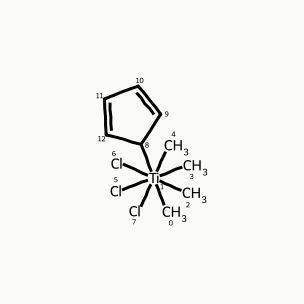 [CH3][Ti]([CH3])([CH3])([CH3])([Cl])([Cl])([Cl])[CH]1C=CC=C1